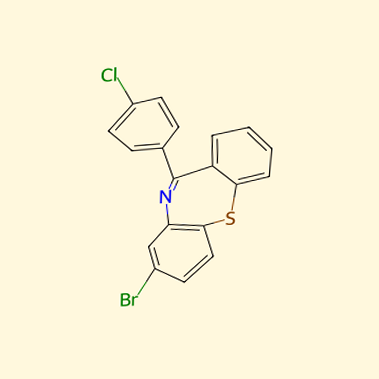 Clc1ccc(C2=Nc3cc(Br)ccc3Sc3ccccc32)cc1